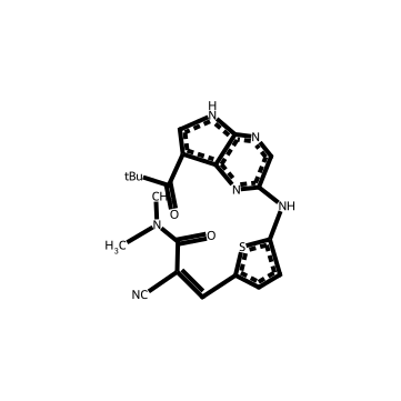 CN(C)C(=O)C(C#N)=Cc1ccc(Nc2cnc3[nH]cc(C(=O)C(C)(C)C)c3n2)s1